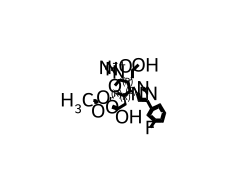 CC(=O)OC[C@@H]1OC(N=[N+]=[N-])[C@H](CC(=O)O)[C@@H](n2cc(-c3cccc(F)c3)nn2)[C@H]1CC(=O)O